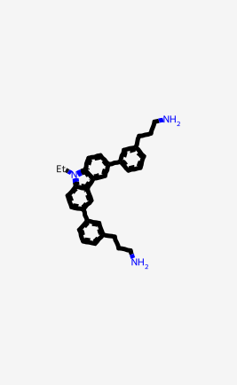 CCn1c2ccc(-c3cccc(CCCN)c3)cc2c2cc(-c3cccc(CCCN)c3)ccc21